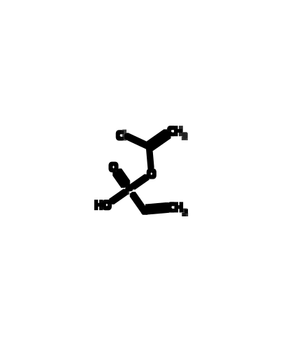 C=CP(=O)(O)OC(=C)Cl